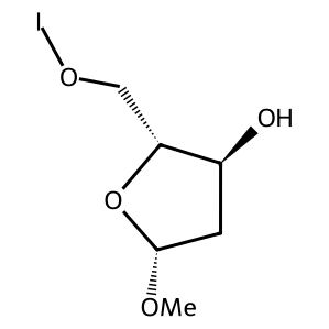 CO[C@H]1C[C@H](O)[C@@H](COI)O1